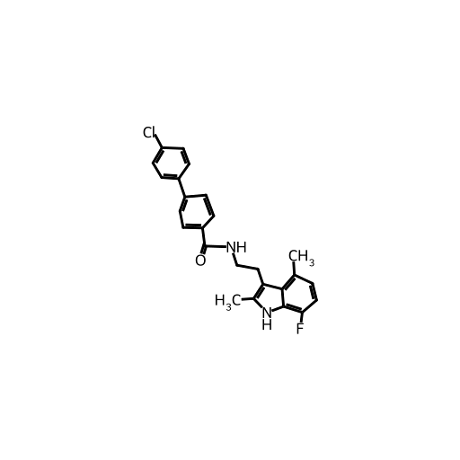 Cc1[nH]c2c(F)ccc(C)c2c1CCNC(=O)c1ccc(-c2ccc(Cl)cc2)cc1